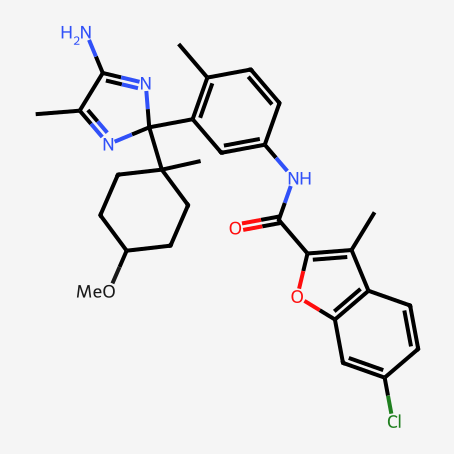 COC1CCC(C)(C2(c3cc(NC(=O)c4oc5cc(Cl)ccc5c4C)ccc3C)N=C(C)C(N)=N2)CC1